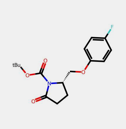 CC(C)(C)OC(=O)N1C(=O)CC[C@H]1COc1ccc(F)cc1